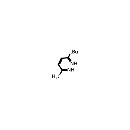 CC(=N)/C=C\C(=N)C(C)(C)C